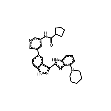 O=C(Nc1cncc(-c2ccc3[nH]nc(-c4nc5c(N6CCCCC6)cccc5[nH]4)c3c2)c1)C1CCCC1